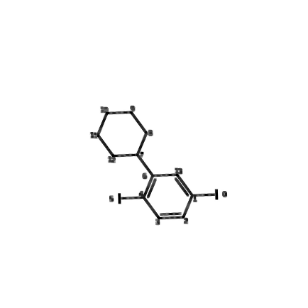 Ic1ccc(I)c(C2CCCCC2)c1